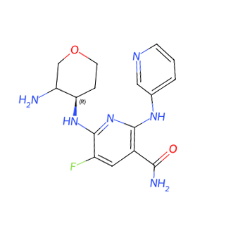 NC(=O)c1cc(F)c(N[C@@H]2CCOCC2N)nc1Nc1cccnc1